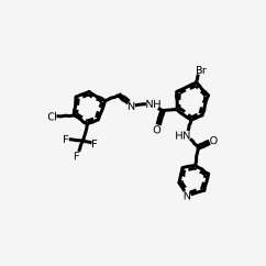 O=C(Nc1ccc(Br)cc1C(=O)NN=Cc1ccc(Cl)c(C(F)(F)F)c1)c1ccncc1